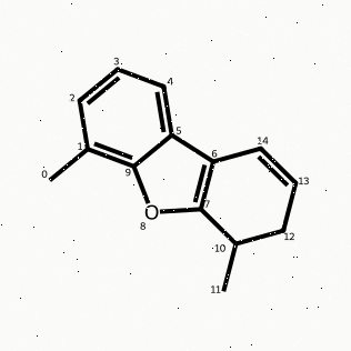 Cc1cccc2c3c(oc12)C(C)CC=C3